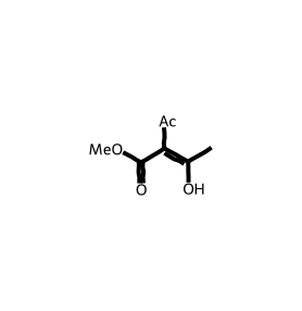 COC(=O)/C(C(C)=O)=C(/C)O